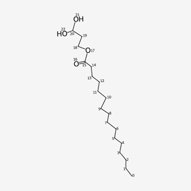 CCCCCCCCCCCCCCCC(=O)OCCC(O)O